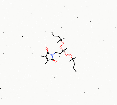 CCCC(C)(C)OOC(C)(CCN1C(=O)C(C)=C(C)C1=O)OOC(C)(C)CCC